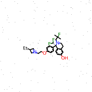 CCC1CN(CCOc2ccc([C@]3(C(F)F)c4ccc(O)cc4CCN3CC(C)(C)F)cc2)C1